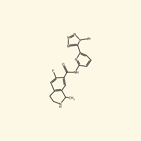 CC1NCCc2cc(F)c(C(=O)Nc3cccc(-c4nnnn4C(C)C)n3)cc21